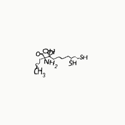 CSCCC(N)(C(=O)O)C(=O)CCCCC(S)CCS